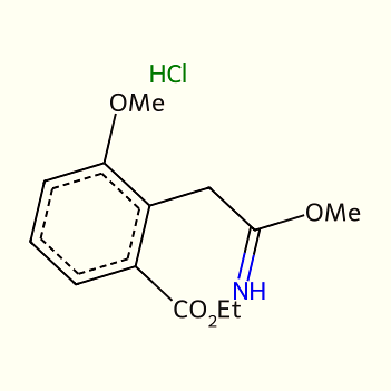 CCOC(=O)c1cccc(OC)c1CC(=N)OC.Cl